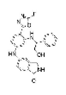 O=C1NCc2cc(Nc3cc(N[C@H](CO)c4ccccc4)c(-c4nnc(F)o4)cn3)ccc21